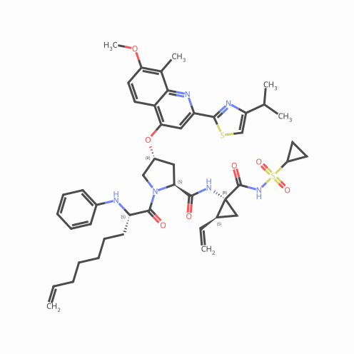 C=CCCCCC[C@H](Nc1ccccc1)C(=O)N1C[C@H](Oc2cc(-c3nc(C(C)C)cs3)nc3c(C)c(OC)ccc23)C[C@H]1C(=O)N[C@]1(C(=O)NS(=O)(=O)C2CC2)C[C@H]1C=C